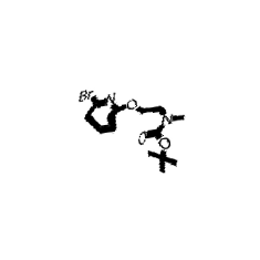 CN(CCOc1cccc(Br)n1)C(=O)OC(C)(C)C